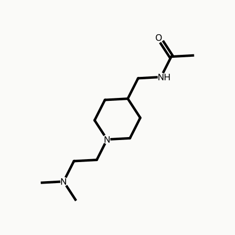 CC(=O)NCC1CCN(CCN(C)C)CC1